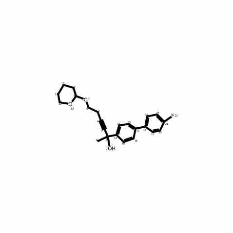 CC(O)(C#CCCOC1CCCCO1)c1ccc(-c2ccc(F)cc2)cc1